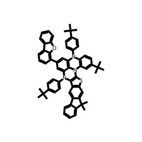 CC(C)(C)c1ccc(N2c3ccc(C(C)(C)C)cc3N3c4sc5cc6c(cc5c4N(c4ccc(C(C)(C)C)cc4)c4cc(-c5cccc7c5oc5ccccc57)cc2c43)-c2ccccc2C6(C)C)cc1